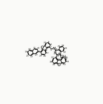 C=N/C(=N\C(=N/Cc1cccc2oc3c(-c4ccc5ccccc5c4)cccc3c12)c1ccccc1)c1cccc2oc3ccccc3c12